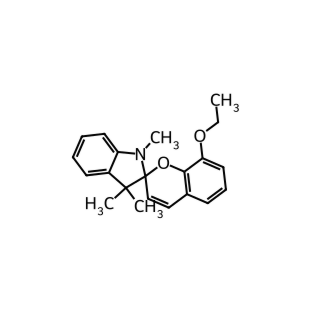 CCOc1cccc2c1OC1(C=C2)N(C)c2ccccc2C1(C)C